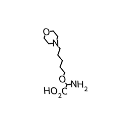 NC(OCCCCCN1CCOCC1)C(=O)O